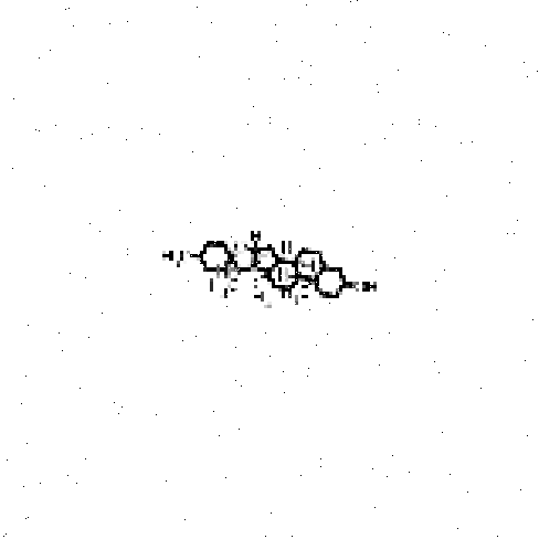 CC1CCC2(NC1)O[C@H]1C[C@H]3[C@@H]4CCC5CC(O)CC[C@]5(C)[C@H]4CC[C@]3(C)[C@H]1[C@@H]2C